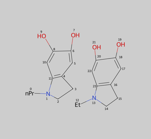 CCCN1CCc2cc(O)c(O)cc21.CCN1CCc2cc(O)c(O)cc21